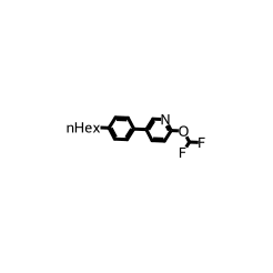 CCCCCCc1ccc(-c2ccc(OC(F)F)nc2)cc1